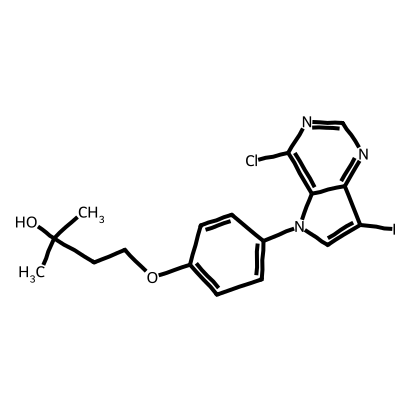 CC(C)(O)CCOc1ccc(-n2cc(I)c3ncnc(Cl)c32)cc1